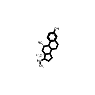 CNC1CCC2C3CCc4cc(O)ccc4C3[C@@H](O)C[C@]12C